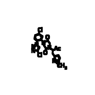 CC(=O)C(Cc1ccn(C)n1)N1CC(=O)N(c2cc(Cl)ccc2-n2cc(Cl)nn2)CC1=O